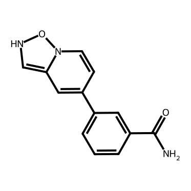 NC(=O)c1cccc(C2=CC3=CNON3C=C2)c1